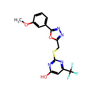 COc1cccc(-c2nnc(CSc3nc(O)cc(C(F)(F)F)n3)o2)c1